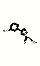 Cc1c[c]cc(-c2cnn(C(=O)OC(C)(C)C)c2)c1